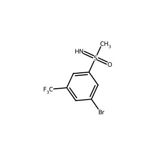 CS(=N)(=O)c1cc(Br)cc(C(F)(F)F)c1